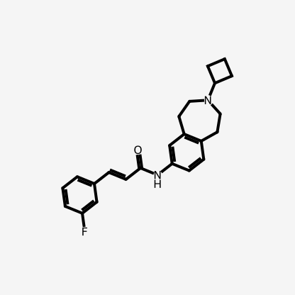 O=C(/C=C/c1cccc(F)c1)Nc1ccc2c(c1)CCN(C1CCC1)CC2